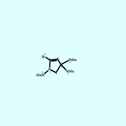 CNN1CC(NC)(NC)C=C1Br